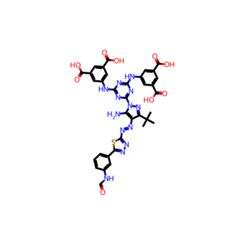 CC(C)(C)c1nn(-c2nc(Nc3cc(C(=O)O)cc(C(=O)O)c3)nc(Nc3cc(C(=O)O)cc(C(=O)O)c3)n2)c(N)c1N=Nc1nnc(-c2cccc(NC=O)c2)s1